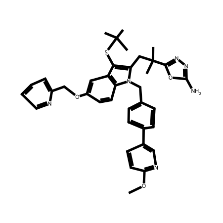 COc1ccc(-c2ccc(Cn3c(CC(C)(C)c4nnc(N)o4)c(SC(C)(C)C)c4cc(OCc5ccccn5)ccc43)cc2)cn1